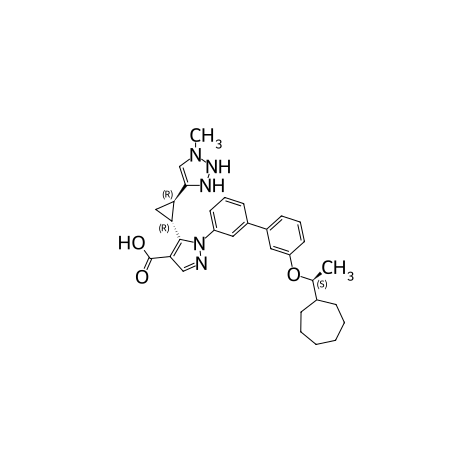 C[C@H](Oc1cccc(-c2cccc(-n3ncc(C(=O)O)c3[C@@H]3C[C@H]3C3=CN(C)NN3)c2)c1)C1CCCCCC1